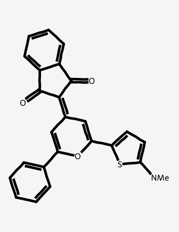 CNc1ccc(C2=CC(=C3C(=O)c4ccccc4C3=O)C=C(c3ccccc3)O2)s1